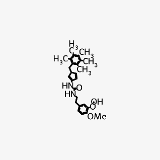 COc1ccc(CCNC(=O)NC2=CC(Cc3c(C)c(C)c(C)c(C)c3C)C=C2)cc1OO